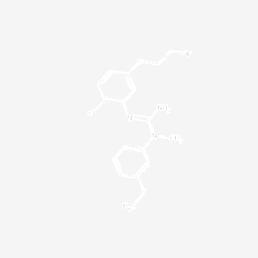 CSc1cccc(N(C)C(N)=Nc2cc(SCC[18F])ccc2Cl)c1